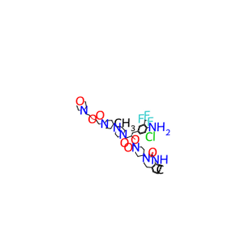 CC1(N2CCN(C(=O)[C@@H](Cc3cc(Cl)c(N)c(C(F)(F)F)c3)OC(=O)N3CCC(N4CCc5ccccc5NC4=O)CC3)CC2)CCN(CC(=O)OCCN2CCOCC2)CC1